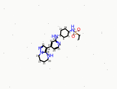 CCS(=O)(=O)N[C@H]1CC[C@H](Nc2cc(-c3cnn4c3NCCCC4)ccn2)CC1